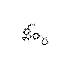 O=C1N(c2ccc(OC3CCCCO3)cc2)c2nc(CO)ncc2C12CC2